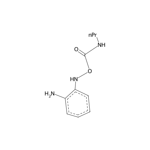 CCCNC(=O)ONc1ccccc1N